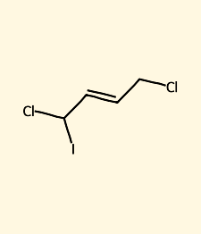 ClCC=CC(Cl)I